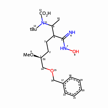 CO[C@@H](CCC(C(=N)NO)C(C)N(C(=O)O)C(C)(C)C)COCc1ccccc1